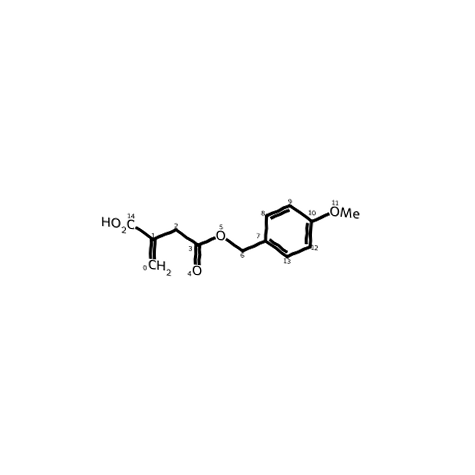 C=C(CC(=O)OCc1ccc(OC)cc1)C(=O)O